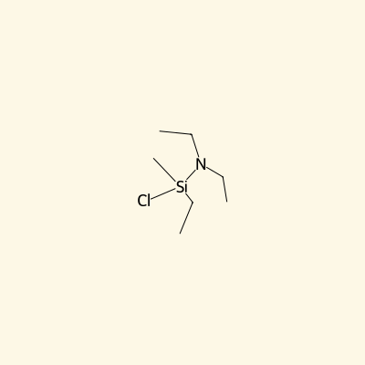 CCN(CC)[Si](C)(Cl)CC